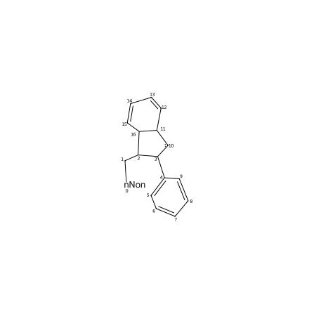 CCCCCCCCCCC1C(c2ccccc2)[C]C2C=CC=CC21